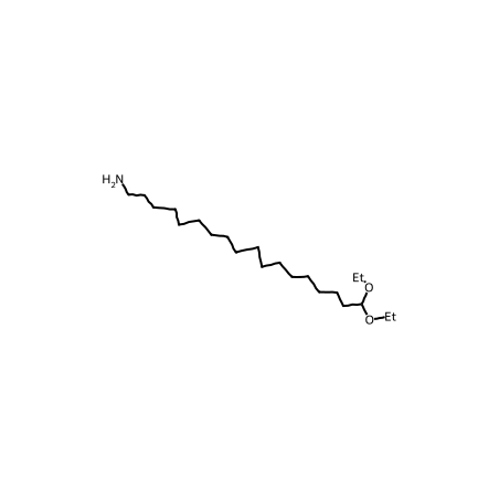 CCOC(CCCCCCCCCCCCCCCCCN)OCC